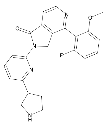 COc1cccc(F)c1-c1nccc2c1CN(c1cccc(C3CCNC3)n1)C2=O